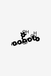 Cc1cc(CC(CC(=O)N2CCC(N3Cc4ccccc4NC3=O)CC2)C(=O)N2CCC(N3CCN(C)CC3)CC2)cc(C)c1O